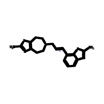 Nc1nc2c(s1)CCN(C/C=C/c1cccc3nc(N)sc13)CC2